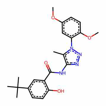 COc1ccc(OC)c(-n2nnc(NC(=O)c3cc(C(C)(C)C)ccc3O)c2C)c1